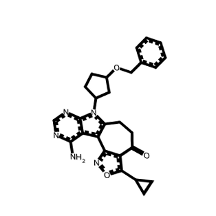 Nc1ncnc2c1c1c(n2C2CCC(OCc3ccccc3)C2)CCC(=O)c2c-1noc2C1CC1